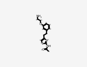 CC(=O)Nc1nc(CCc2cccc(OCCN)c2)cs1